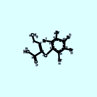 CC/C=C(/Oc1c(Br)c(Br)c(Br)c(Br)c1Br)C(=O)O